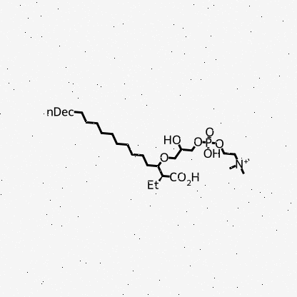 CCCCCCCCCCCCCCCCCCCCC(OCC(O)COP(=O)(O)OCC[N+](C)(C)C)[C@H](CC)C(=O)O